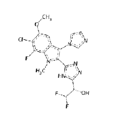 COc1cc2c(-n3ccnc3)c(-c3nnc([C@H](O)C(F)F)[nH]3)n(C)c2c(F)c1Cl